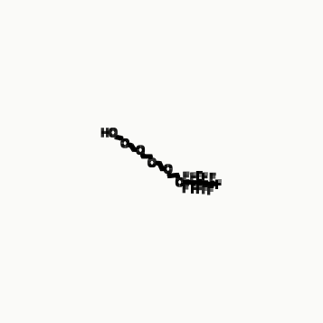 OCCOCCOCCOCCOCCOC(F)(F)C(F)(F)C(F)(F)C(F)(F)C(F)(F)F